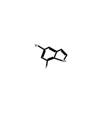 Fc1cc(Br)cc2cc[nH]c12